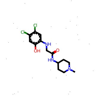 CN1CCC(NC(=O)CNc2cc(Cl)c(Cl)cc2O)CC1